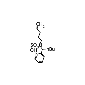 C=CCCCCC(CCCC)c1ccccn1.O=S(=O)(O)O